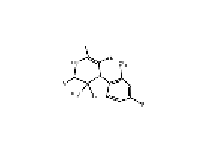 CCCC1NC(C)=C(C#N)C(c2ccc(F)cc2C(F)(F)F)C1(CC)C(=O)O